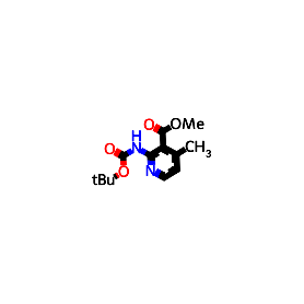 COC(=O)c1c(C)ccnc1NC(=O)OC(C)(C)C